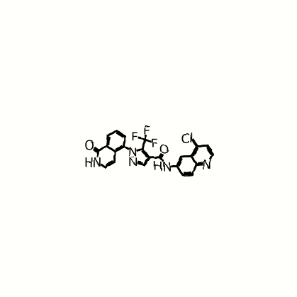 O=C(Nc1ccc2nccc(Cl)c2c1)c1cnn(-c2cccc3c(=O)[nH]ccc23)c1C(F)(F)F